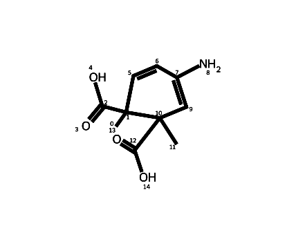 CC1(C(=O)O)C=CC(N)=CC1(C)C(=O)O